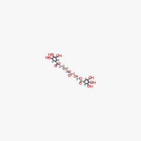 O=C(COCCOC(=O)c1cc(O)c(O)c(O)c1)OCCOCCOC(=O)c1cc(O)c(O)c(O)c1